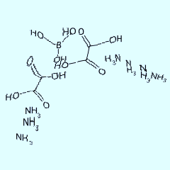 N.N.N.N.N.N.N.O=C(O)C(=O)O.O=C(O)C(=O)O.OB(O)O